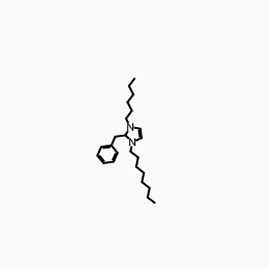 CCCCCCCCN1C=CN(CCCCCC)C1Cc1ccccc1